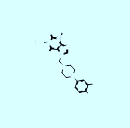 Cn1c(=O)c2c(ncn2CN2CCN(c3ccc(Cl)c(Cl)c3)CC2)n(C)c1=O